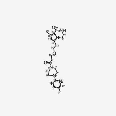 Cc1cnc(N2CCN(C(=O)CCOCCc3cc(C)c4n3CCNC4=O)CC2)nc1